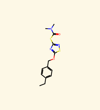 CCc1ccc(COc2nc(SC(=O)N(C)C)ns2)cc1